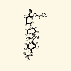 COCOc1cc(N2CCN(S(=O)(=O)c3ccc(OC(C)C)cc3)CC2)ccc1Br